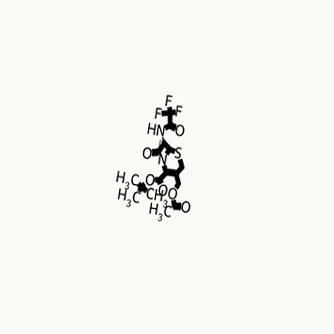 CC(=O)OCC1=C(C(=O)OC(C)(C)C)N2C(=O)[C@H](NC(=O)C(F)(F)F)C2SC1